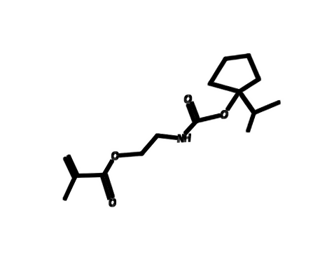 C=C(C)C(=O)OCCNC(=O)OC1(C(C)C)CCCC1